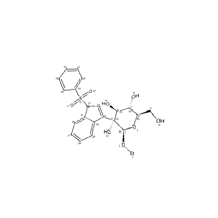 CCO[C@@H]1O[C@H](CO)[C@@H](O)[C@H](O)[C@]1(O)c1cn(S(=O)(=O)c2ccccc2)c2ccccc12